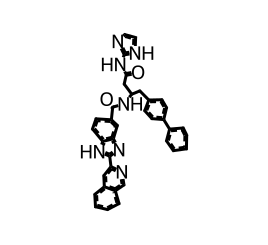 O=C(CC(Cc1ccc(-c2ccccc2)cc1)NC(=O)c1ccc2[nH]c(-c3cc4ccccc4cn3)nc2c1)Nc1ncc[nH]1